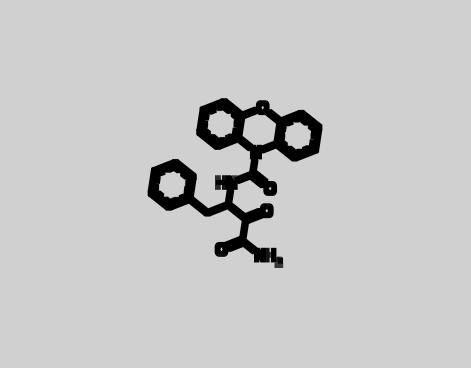 NC(=O)C(=O)C(Cc1ccccc1)NC(=O)N1c2ccccc2Oc2ccccc21